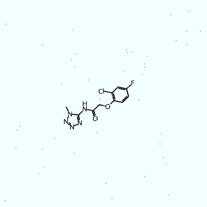 Cn1nnnc1NC(=O)COc1ccc(F)cc1Cl